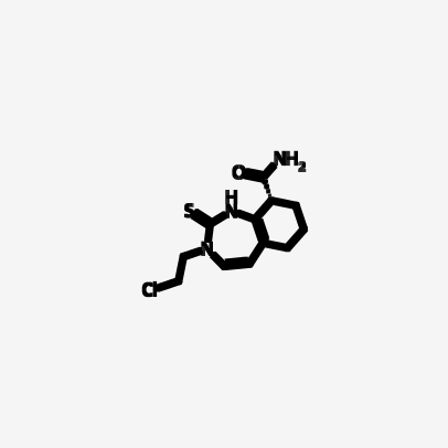 NC(=O)[C@@H]1CCCC2=C1NC(=S)N(CCCl)C=C2